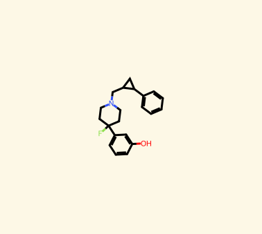 Oc1cccc(C2(F)CCN(CC3CC3c3ccccc3)CC2)c1